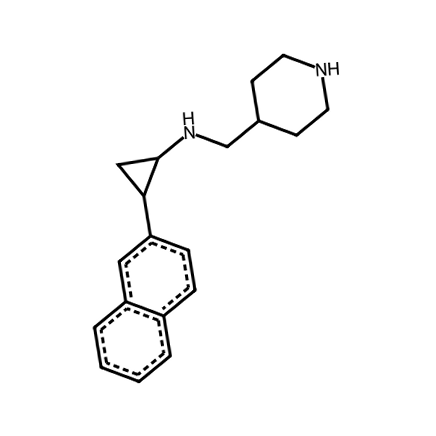 c1ccc2cc(C3CC3NCC3CCNCC3)ccc2c1